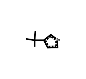 CC(C)(C)c1cc[se]c1